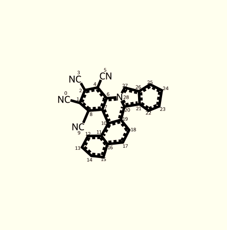 N#Cc1c(C#N)c(C#N)c2c(c1C#N)c1c3ccccc3ccc1c1c3ccccc3cn21